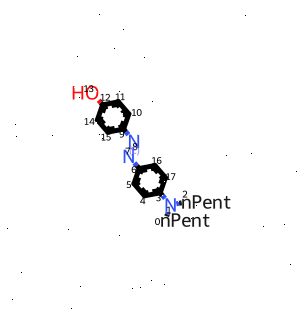 CCCCCN(CCCCC)c1ccc(/N=N/c2ccc(O)cc2)cc1